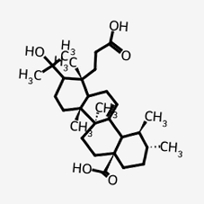 C[C@@H]1CC[C@]2(C(=O)O)CC[C@]3(C)C(=CCC4[C@@](C)(CCC(=O)O)C(C(C)(C)O)CC[C@]43C)C2[C@H]1C